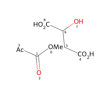 COC(=O)C(C)=O.O=C(O)CC(O)C(=O)O